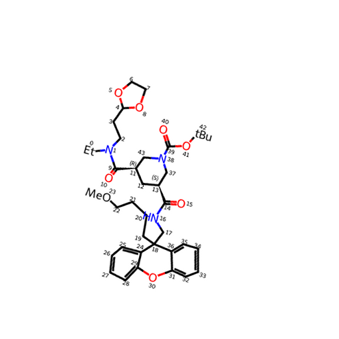 CCN(CCC1OCCO1)C(=O)[C@@H]1C[C@H](C(=O)NCC2(CCCCOC)c3ccccc3Oc3ccccc32)CN(C(=O)OC(C)(C)C)C1